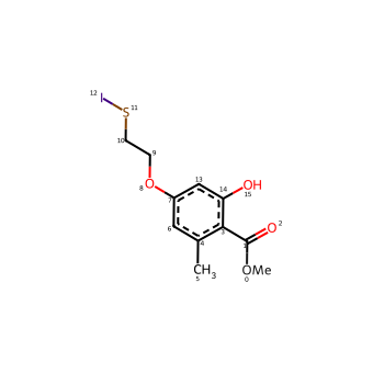 COC(=O)c1c(C)cc(OCCSI)cc1O